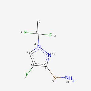 CC(F)(F)n1cc(F)c(SN)n1